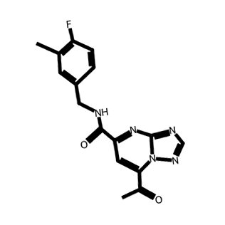 CC(=O)c1cc(C(=O)NCc2ccc(F)c(C)c2)nc2ncnn12